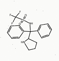 O=S(=O)(NC(c1ccccc1)(c1ccccc1)C1CCCN1)C(F)(F)F